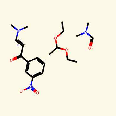 CCOC(C)OCC.CN(C)/C=C/C(=O)c1cccc([N+](=O)[O-])c1.CN(C)C=O